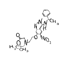 C[C@@H](Nc1ncnc2cc(OCCN3CC(=O)OC(C)(C)C3)c([N+](=O)[O-])cc12)c1ccccc1